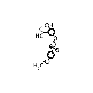 CCOc1ccc(S(=O)(=O)CCOc2ccc(O)c(C(=O)O)c2)cc1